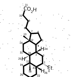 CC[C@H]1C[C@H]2C3CCC(CCCC(=O)O)[C@@]3(C)CC[C@@H]2[C@@]2(C)CCCC[C@@H]12